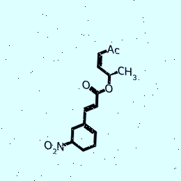 CC(=O)/C=C\[C@@H](C)OC(=O)/C=C/C1=CCCC([N+](=O)[O-])C1